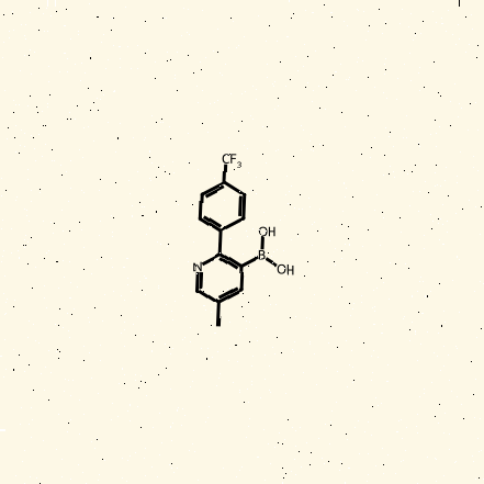 Cc1cnc(-c2ccc(C(F)(F)F)cc2)c(B(O)O)c1